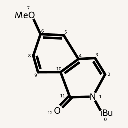 CCC(C)n1ccc2cc(OC)ccc2c1=O